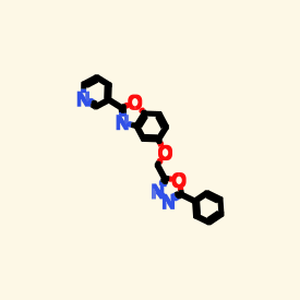 c1ccc(-c2nnc(COc3ccc4oc(-c5cccnc5)nc4c3)o2)cc1